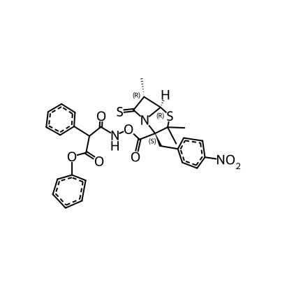 C[C@H]1C(=S)N2[C@@H]1SC(C)(C)[C@]2(Cc1ccc([N+](=O)[O-])cc1)C(=O)ONC(=O)C(C(=O)Oc1ccccc1)c1ccccc1